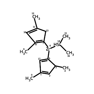 CC1=CC(C)[C]([Zr]([C]2=C(C)C=C(C)C2)[SiH](C)C)=C1